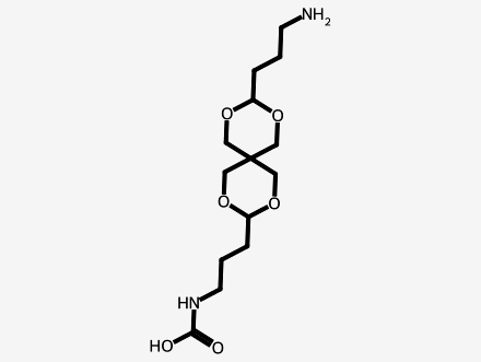 NCCCC1OCC2(CO1)COC(CCCNC(=O)O)OC2